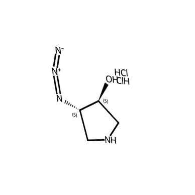 Cl.Cl.[N-]=[N+]=N[C@H]1CNC[C@@H]1O